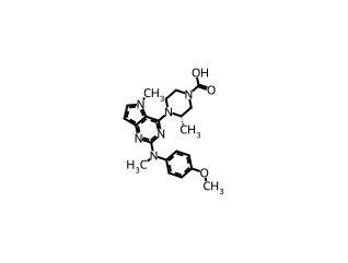 COc1ccc(N(C)c2nc(N3CCN(C(=O)O)C[C@@H]3C)c3c(ccn3C)n2)cc1